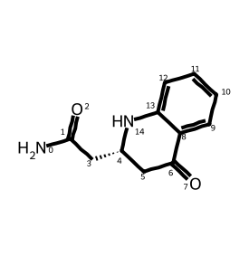 NC(=O)C[C@H]1CC(=O)c2ccccc2N1